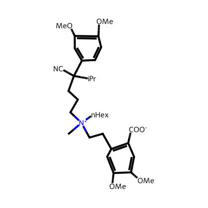 CCCCCC[N+](C)(CCCC(C#N)(c1ccc(OC)c(OC)c1)C(C)C)CCc1cc(OC)c(OC)cc1C(=O)[O-]